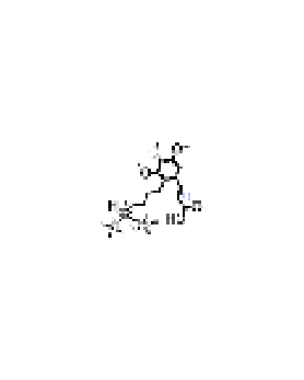 COc1cc(/C=C/C(=O)O)c(CCC[SiH2]C(O[Si](C)(C)C)O[Si](C)(C)C)c(OC)c1OC